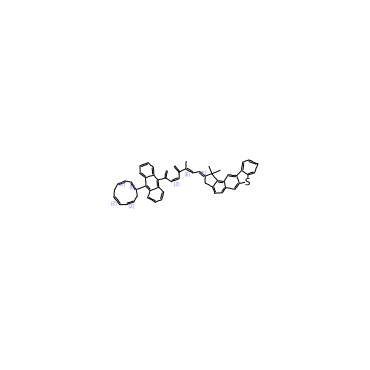 C=C(/C=C\C(=C)c1c2ccccc2c(/C2=C/C=C\C/C=C\C=C/C2)c2ccccc12)/C(C)=C/C=C1\Cc2ccc3cc4sc5ccccc5c4cc3c2C1(C)C